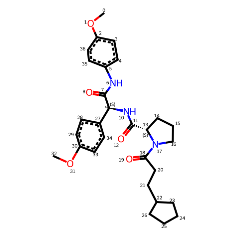 COc1ccc(NC(=O)[C@@H](NC(=O)[C@@H]2CCCN2C(=O)CCC2CCCC2)c2ccc(OC)cc2)cc1